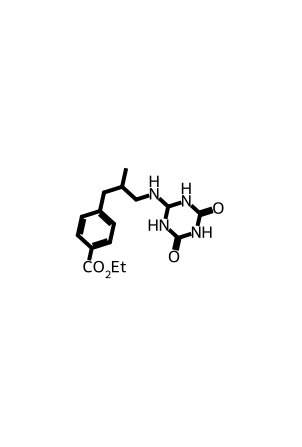 CCOC(=O)c1ccc(CC(C)CNC2NC(=O)NC(=O)N2)cc1